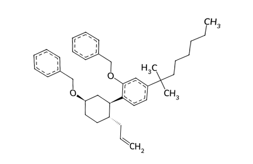 C=CC[C@@H]1CC[C@@H](OCc2ccccc2)C[C@H]1c1ccc(C(C)(C)CCCCCC)cc1OCc1ccccc1